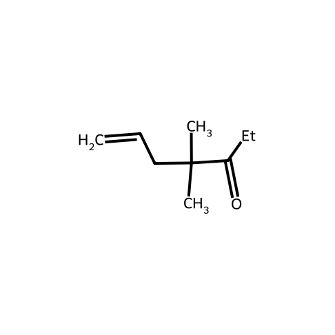 C=CCC(C)(C)C(=O)CC